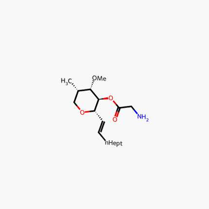 CCCCCCCC=C[C@@H]1OC[C@H](C)[C@H](OC)[C@H]1OC(=O)CN